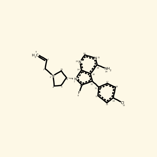 C=CCN1CC[C@@H](n2c(F)c(-c3ccc(Cl)cc3)c3c(N)ncnc32)C1